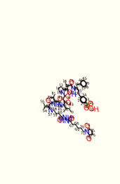 CC[C@H](C)[C@@H]([C@@H](CC(=O)N1CCC[C@H]1[C@H](OC)[C@@H](C)C(=O)N[C@H](/C=C/c1ccc(S(=O)(=O)O)cc1)Cc1ccccc1)OC)N(C)C(=O)[C@@H](NC(=O)[C@H](C(C)C)N(C)CCCC(=O)NNC(=O)CCCCCN1C(=O)C=CC1=O)C(C)C